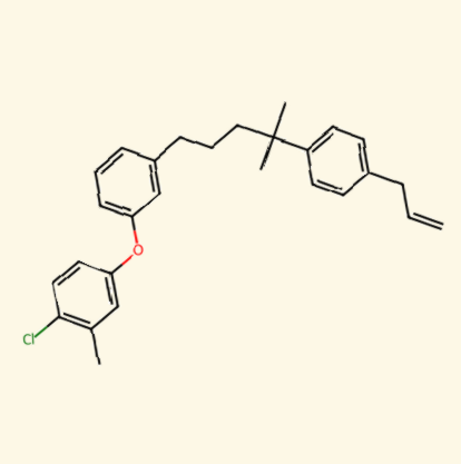 C=CCc1ccc(C(C)(C)CCCc2cccc(Oc3ccc(Cl)c(C)c3)c2)cc1